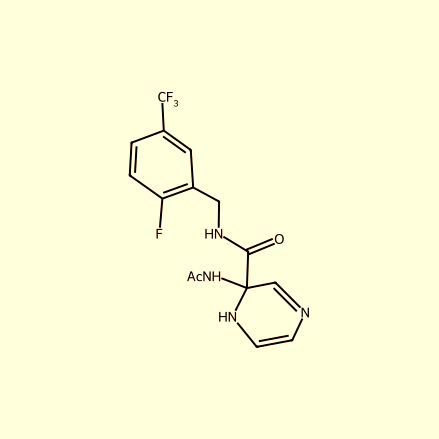 CC(=O)NC1(C(=O)NCc2cc(C(F)(F)F)ccc2F)C=NC=CN1